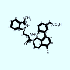 COc1ccc(CC(=O)O)cc1-c1ccc(F)c2c1CN(C(=O)CCn1nc(C)c3ccccc31)CC2